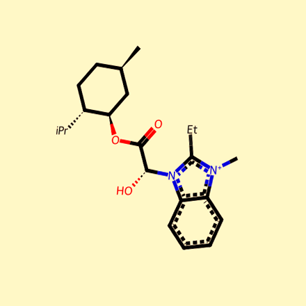 CCc1n([C@H](O)C(=O)O[C@@H]2C[C@H](C)CC[C@H]2C(C)C)c2ccccc2[n+]1C